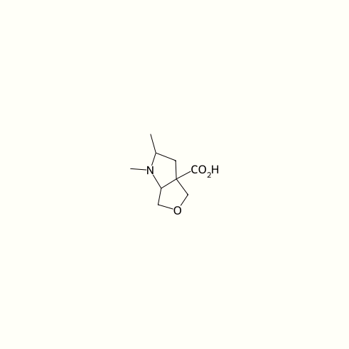 CC1CC2(C(=O)O)COCC2N1C